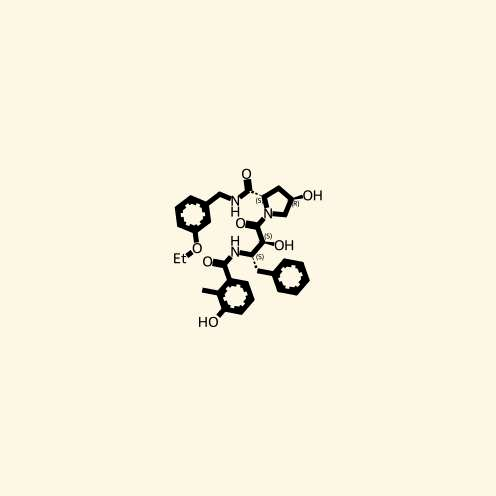 CCOc1cccc(CNC(=O)[C@@H]2C[C@@H](O)CN2C(=O)[C@@H](O)[C@H](Cc2ccccc2)NC(=O)c2cccc(O)c2C)c1